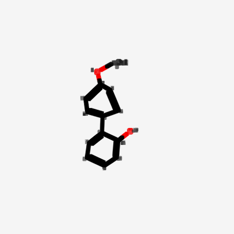 CCCCCCCCOc1ccc(-c2ccccc2[O])cc1